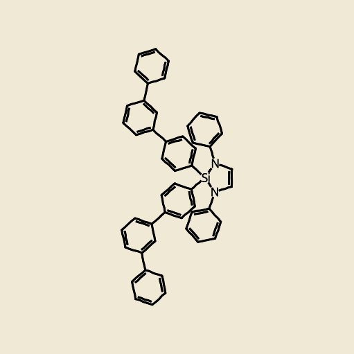 C1=CN(c2ccccc2)[Si](c2ccc(-c3cccc(-c4ccccc4)c3)cc2)(c2ccc(-c3cccc(-c4ccccc4)c3)cc2)N1c1ccccc1